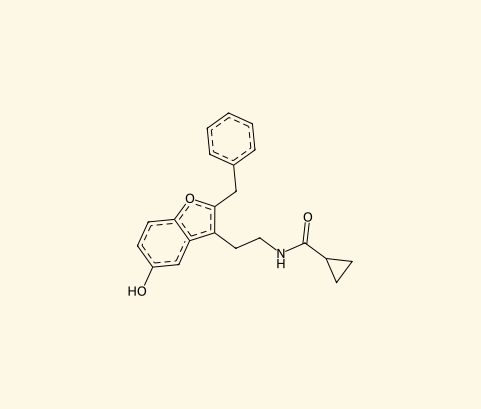 O=C(NCCc1c(Cc2ccccc2)oc2ccc(O)cc12)C1CC1